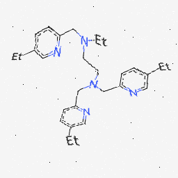 CCc1ccc(CN(CC)CCN(Cc2ccc(CC)cn2)Cc2ccc(CC)cn2)nc1